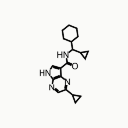 O=C(NC(C1CCCCC1)C1CC1)c1c[nH]c2ncc(C3CC3)nc12